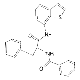 O=C(NC(Cc1ccccc1)C(=O)Nc1cccc2ccsc12)c1ccccc1